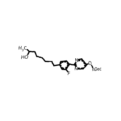 CCCCCCCCCCOc1cnc(-c2ccc(CCCCCCC(C)O)cc2F)nc1